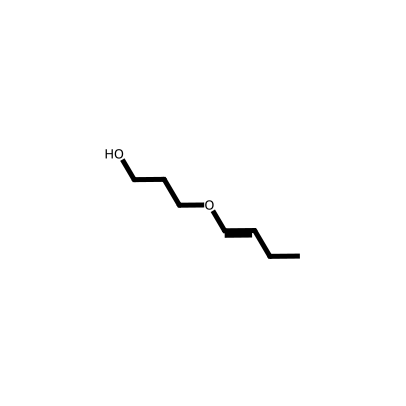 CCC=COCCCO